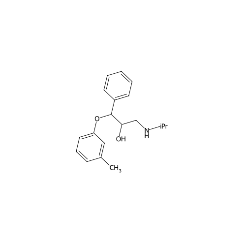 Cc1cccc(OC(c2ccccc2)C(O)CNC(C)C)c1